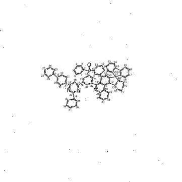 O=P(c1ccccc1)(c1ccccc1)c1cc(-c2cc(-c3ccc(-c4ccccc4)cc3)nc(-c3ccccc3)n2)cc(-c2nc3ccccc3c3c4c(ccc23)C2(c3ccccc3-c3ccccc32)c2ccccc2-4)c1